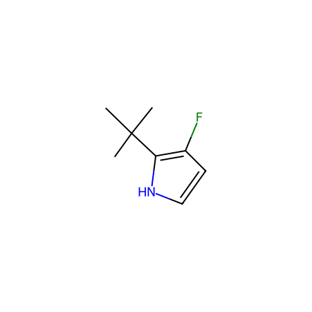 CC(C)(C)c1[nH]ccc1F